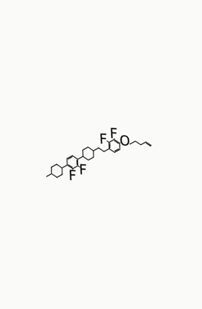 C=CCCCOc1ccc(CCC2CCC(c3ccc(C4CCC(C)CC4)c(F)c3F)CC2)c(F)c1F